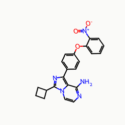 Nc1nccn2c(C3CCC3)nc(-c3ccc(Oc4ccccc4[N+](=O)[O-])cc3)c12